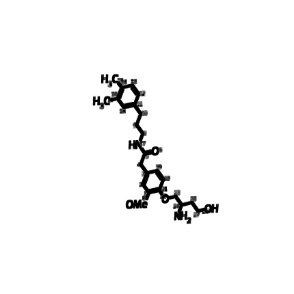 COc1cc(CC(=O)NCCCc2ccc(C)c(C)c2)ccc1OCC(N)CCO